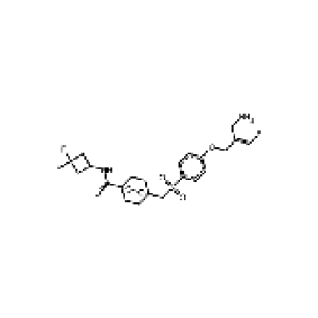 NC/C(=C\F)COc1ccc(S(=O)(=O)CC23CCC(C(=O)NC4CC(F)(F)C4)(CC2)CC3)cc1